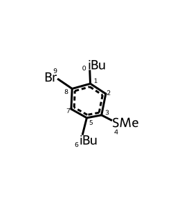 CCC(C)c1cc(SC)c(C(C)CC)cc1Br